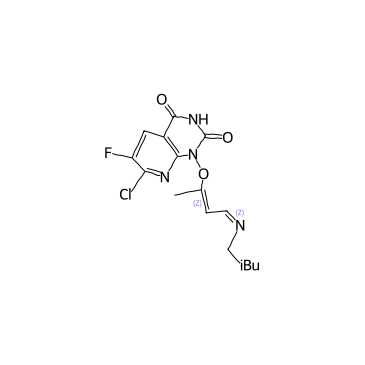 CCC(C)C/N=C\C=C(\C)On1c(=O)[nH]c(=O)c2cc(F)c(Cl)nc21